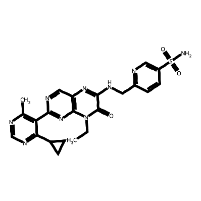 CCn1c(=O)c(NCc2ccc(S(N)(=O)=O)cn2)nc2cnc(-c3c(C)ncnc3C3CC3)nc21